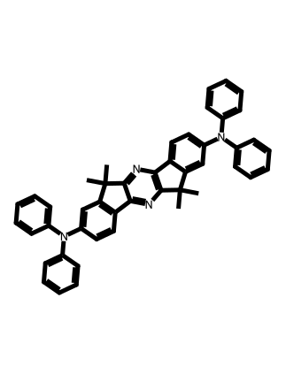 CC1(C)c2cc(N(c3ccccc3)c3ccccc3)ccc2-c2nc3c(nc21)-c1ccc(N(c2ccccc2)c2ccccc2)cc1C3(C)C